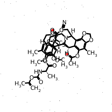 C=C(C)OC(=O)N[C@@H](C)C(=O)Oc1cc2c(cc1OC)[C@@]1(CS[C@@H]3c4c(OC(C)=O)c(C)c5c(c4[C@H](COC1=O)N1C3[C@@H]3c4c(cc(C)c(OC)c4O)C[C@@H]([C@@H]1C#N)N3C)OCO5)NCC2